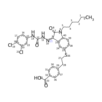 CCCCCCN1C(=O)/C(=N\NC(=O)Nc2ccc(Cl)c(Cl)c2)c2cc(SCCc3ccc(C(=O)O)cc3)ccc21